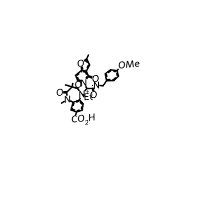 CC[N+]1(C(C(=O)[N]Cc2ccc(OC)cc2)n2ccc3oc(C)cc3c2=O)C(=O)C(C)(C)C(=O)N(C)c2cc(C(=O)O)ccc21